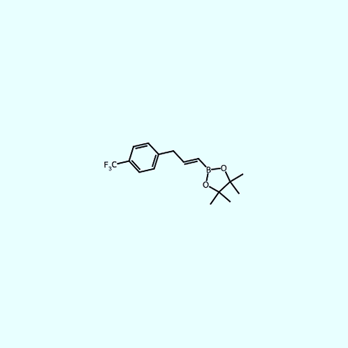 CC1(C)OB(/C=C/Cc2ccc(C(F)(F)F)cc2)OC1(C)C